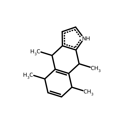 CC1C=CC(C)C2=C1C(C)c1cc[nH]c1C2C